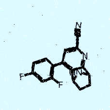 N#Cc1cc(-c2ccc(F)cc2F)c2c(n1)C1CCC2N1